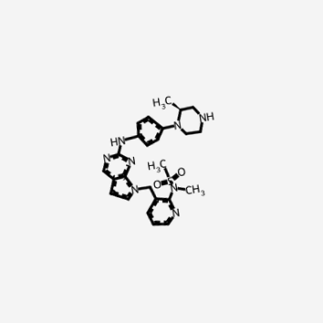 C[C@H]1CNCCN1c1ccc(Nc2ncc3ccn(Cc4cccnc4N(C)S(C)(=O)=O)c3n2)cc1